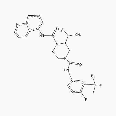 CC(C)C1CN(C(=O)Nc2ccc(F)c(C(F)(F)F)c2)CCN1C(=S)Nc1cccc2ncccc12